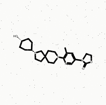 Cc1cc(N2CCOC2=O)cnc1N1CCC2(CC1)CCN([C@H]1CC[C@@H](O)CC1)C2